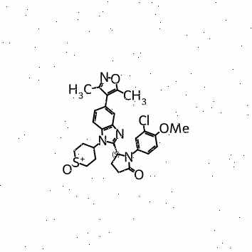 COc1ccc(N2C(=O)CC[C@H]2c2nc3cc(-c4c(C)noc4C)ccc3n2C2CC[S+]([O-])CC2)cc1Cl